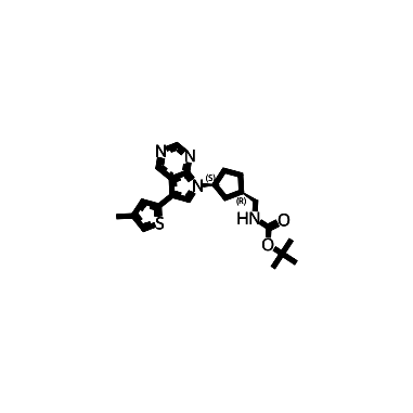 Cc1csc(-c2cn([C@H]3CC[C@@H](CNC(=O)OC(C)(C)C)C3)c3ncncc23)c1